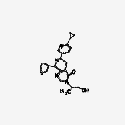 C[C@@H](CO)n1cnc2c(-c3cccnc3)nc(-c3ccc(C4CC4)nc3)cc2c1=O